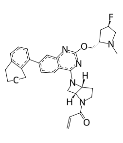 C=CC(=O)N1CC[C@@H]2[C@H]1CN2c1nc(OC[C@@H]2C[C@@H](F)CN2C)nc2cc(-c3cccc4c3CCCC4)ccc12